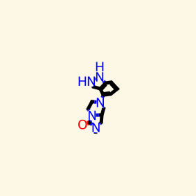 CN1CC2CN(c3cccc4c3CNN4)CCN2C1=O